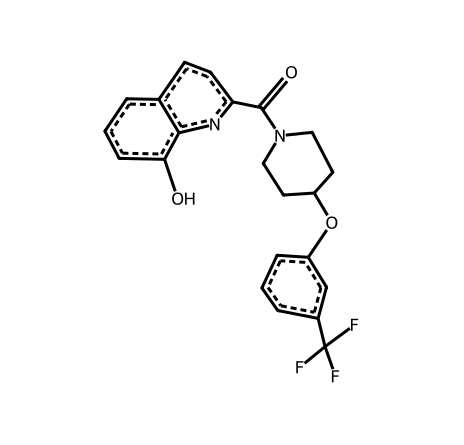 O=C(c1ccc2cccc(O)c2n1)N1CCC(Oc2cccc(C(F)(F)F)c2)CC1